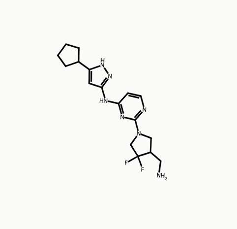 NCC1CN(c2nccc(Nc3cc(C4CCCC4)[nH]n3)n2)CC1(F)F